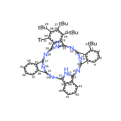 CC(C)(C)c1cccc2c1-c1nc-2nc2[nH]c(nc3nc(nc4[nH]c(n1)c1c(C(C)(C)C)c(C(C)(C)C)c(C(C)(C)C)[c]([Ti])c41)-c1ccccc1-3)c1ccccc21